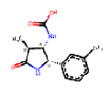 Cc1cccc([C@@H]2NC(=O)[C@@H](C)[C@@H]2NC(=O)O)c1